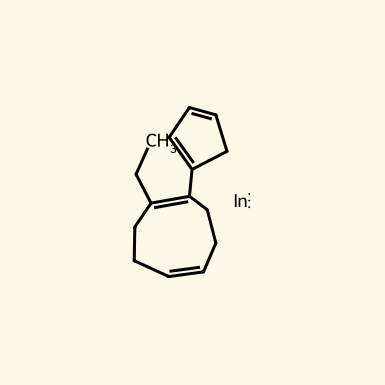 CC/C1=C(\C2=CC=CC2)CC/C=C\CC1.[In]